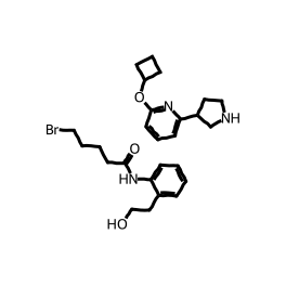 O=C(CCCCBr)Nc1ccccc1CCO.c1cc(OC2CCC2)nc(C2CCNC2)c1